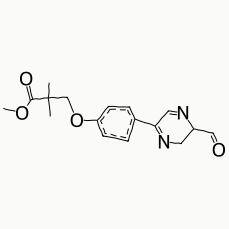 COC(=O)C(C)(C)COc1ccc(C2=NCC(C=O)N=C2)cc1